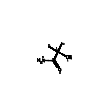 CC(C)(C#N)C(N)=O